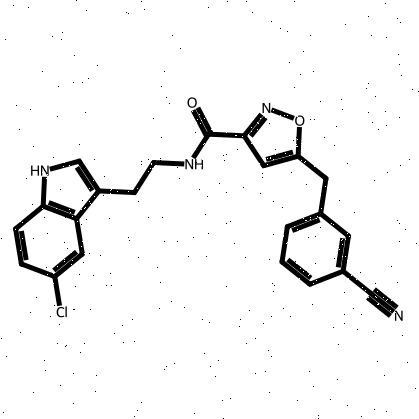 N#Cc1cccc(Cc2cc(C(=O)NCCc3c[nH]c4ccc(Cl)cc34)no2)c1